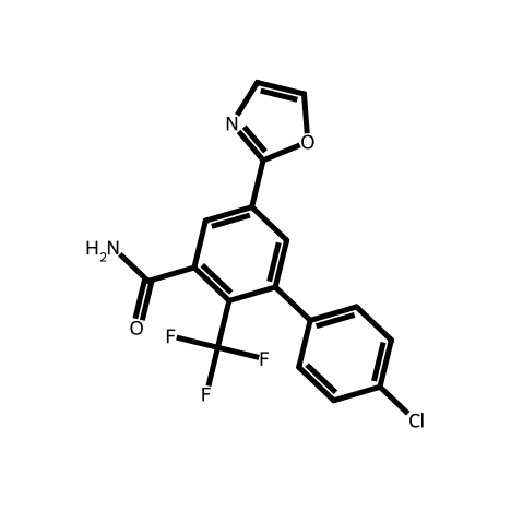 NC(=O)c1cc(-c2ncco2)cc(-c2ccc(Cl)cc2)c1C(F)(F)F